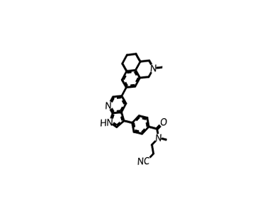 CN1Cc2cc(-c3cnc4[nH]cc(-c5ccc(C(=O)N(C)CCC#N)cc5)c4c3)cc3c2C(CCC3)C1